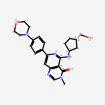 Cn1cnc2cc(-c3ccc(N4CCOCC4)cc3)nc(N[C@H]3CC[C@H](CO)C3)c2c1=O